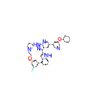 Fc1cc(OCCN2CCCC2)cc(-c2cccc3[nH]c(-c4n[nH]c5ncc(-c6cncc(OC7CCCCC7)c6)cc45)cc23)c1